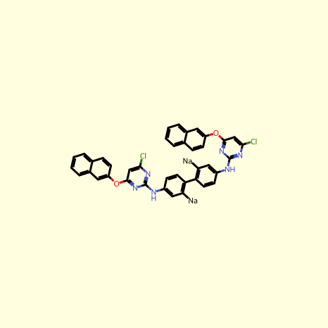 [Na][c]1cc(Nc2nc(Cl)cc(Oc3ccc4ccccc4c3)n2)ccc1-c1ccc(Nc2nc(Cl)cc(Oc3ccc4ccccc4c3)n2)c[c]1[Na]